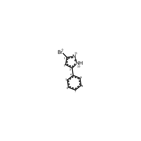 Brc1cc(-c2ccccc2)[nH]n1